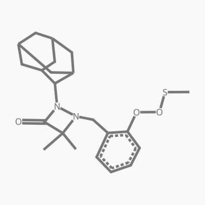 CSOOc1ccccc1CN1N(C2C3CC4CC(C3)CC2C4)C(=O)C1(C)C